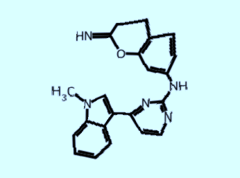 Cn1cc(-c2ccnc(Nc3ccc4c(c3)OC(=N)CC4)n2)c2ccccc21